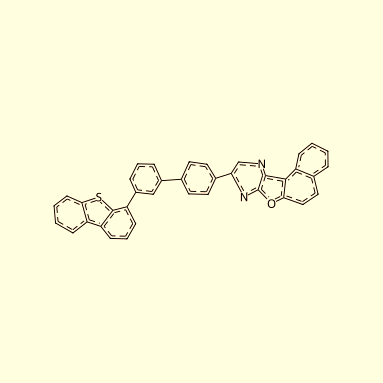 c1cc(-c2ccc(-c3cnc4c(n3)oc3ccc5ccccc5c34)cc2)cc(-c2cccc3c2sc2ccccc23)c1